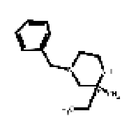 CC[C@]1(C)CN(Cc2ccccc2)CCN1